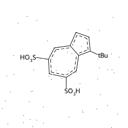 CC(C)(C)c1ccc2cc(S(=O)(=O)O)cc(S(=O)(=O)O)cc1-2